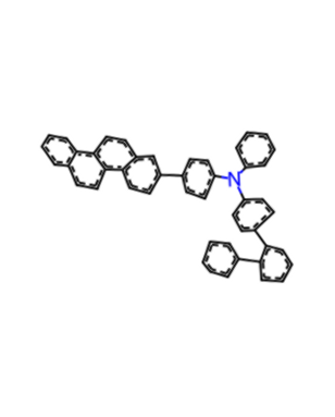 c1ccc(-c2ccccc2-c2ccc(N(c3ccccc3)c3ccc(-c4ccc5c(ccc6c7ccccc7ccc56)c4)cc3)cc2)cc1